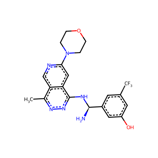 Cc1nnc(N[C@H](N)c2cc(O)cc(C(F)(F)F)c2)c2cc(N3CCOCC3)ncc12